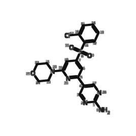 Nc1ncc(-c2cc(S(=O)(=O)c3ccccc3Cl)cc(N3CCOCC3)n2)cn1